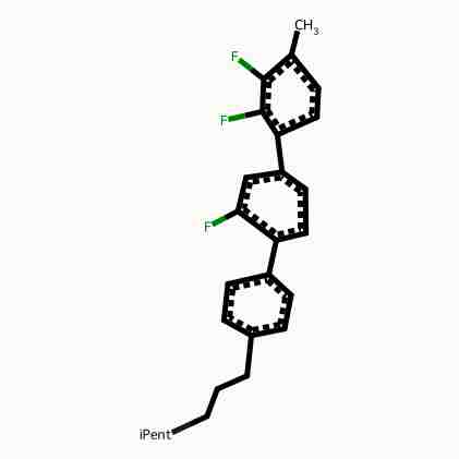 CCCC(C)CCCc1ccc(-c2ccc(-c3ccc(C)c(F)c3F)cc2F)cc1